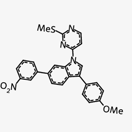 COc1ccc(-c2cn(-c3ccnc(SC)n3)c3cc(-c4cccc([N+](=O)[O-])c4)ccc23)cc1